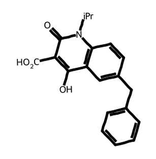 CC(C)n1c(=O)c(C(=O)O)c(O)c2cc(Cc3ccccc3)ccc21